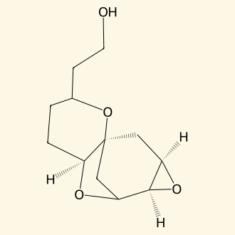 OCCC1CC[C@@H]2OC3C[C@]2(C[C@H]2O[C@@H]32)O1